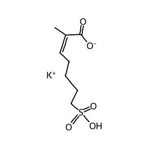 CC(=CCCCCS(=O)(=O)O)C(=O)[O-].[K+]